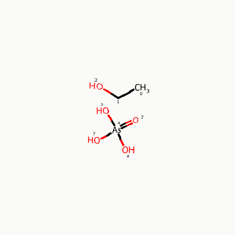 CCO.O=[As](O)(O)O